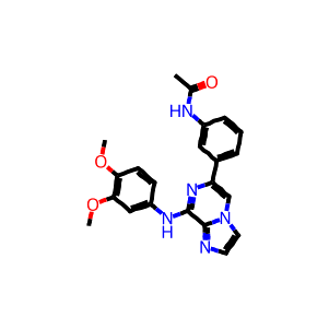 COc1ccc(Nc2nc(-c3cccc(NC(C)=O)c3)cn3ccnc23)cc1OC